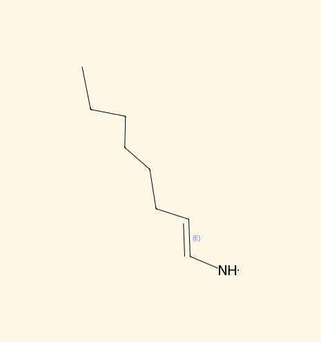 CCCCCC/C=C/[NH]